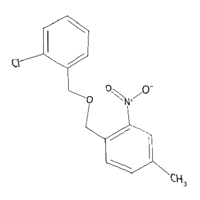 Cc1ccc(COCc2ccccc2Cl)c([N+](=O)[O-])c1